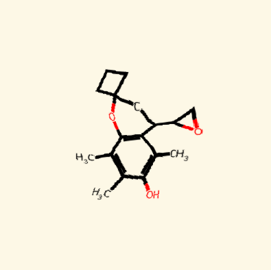 Cc1c(C)c2c(c(C)c1O)C(C1CO1)CC1(CCC1)O2